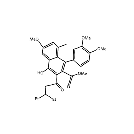 CCC(CC)CC(=O)c1c(C(=O)OC)c(-c2ccc(OC)c(OC)c2)c2c(C)cc(OC)cc2c1O